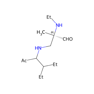 CCN[C@@](C)(C=O)CNC(C(C)=O)C(CC)CC